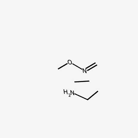 C=NOC.CC.CCN